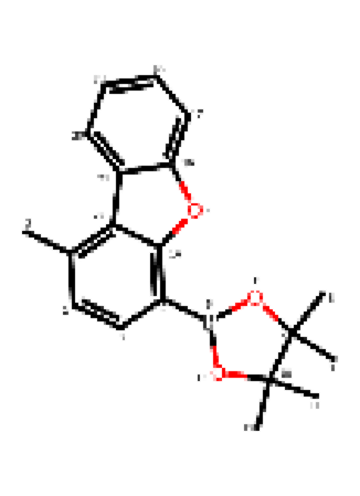 Cc1ccc(B2OC(C)(C)C(C)(C)O2)c2oc3ccccc3c12